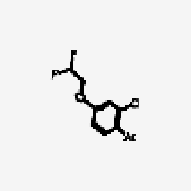 CC(=O)c1ccc(OCC(F)F)cc1Cl